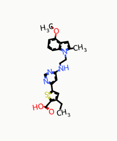 CCc1cc(-c2cc(NCCn3c(C)cc4c(OC)cccc43)ncn2)sc1C(=O)O